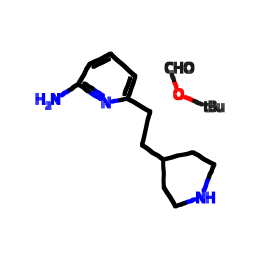 CC(C)(C)OC=O.Nc1cccc(CCC2CCNCC2)n1